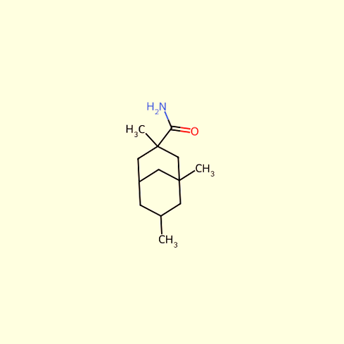 CC1CC2CC(C)(C1)CC(C)(C(N)=O)C2